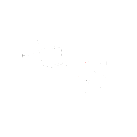 CC1(C)C=CC(B2OC(C)(C)C(C)(C)O2)=CC1